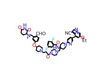 CCOc1cc(-c2ccc(N3CCC(CN4CCN(C(=O)CCN5CCC(Oc6ccc(C=O)c(CN(C)C7CCC(=O)NC7=O)c6)CC5)CC4)(NC(=O)c4cc(F)ccc4F)CC3)nc2)c2c(C#N)cnn2c1